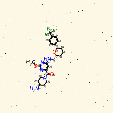 COc1nc(NC[C@H]2CCC[C@@H](c3ccc(C(F)(F)F)cc3)O2)cc(C(=O)N2CCC(N)CC2)n1